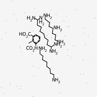 Cc1c(C(=O)O)cccc1C(=O)O.N.NC(N)CCCCCCCC(N)N.NCCCCCCCCN.NCCCCCCCN